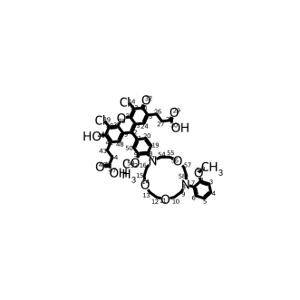 COc1ccccc1N1CCOCCOCCN(c2ccc(-c3c4cc(CCC(=O)O)c(=O)c(Cl)c-4oc4c(Cl)c(O)c(CCC(=O)O)cc34)cc2OC)CCOCC1